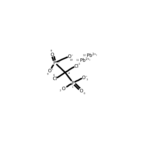 O=P([O-])([O-])C(Cl)(Cl)P(=O)([O-])[O-].[Pb+2].[Pb+2]